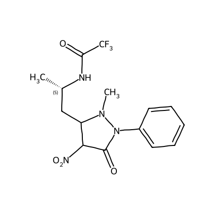 C[C@@H](CC1C([N+](=O)[O-])C(=O)N(c2ccccc2)N1C)NC(=O)C(F)(F)F